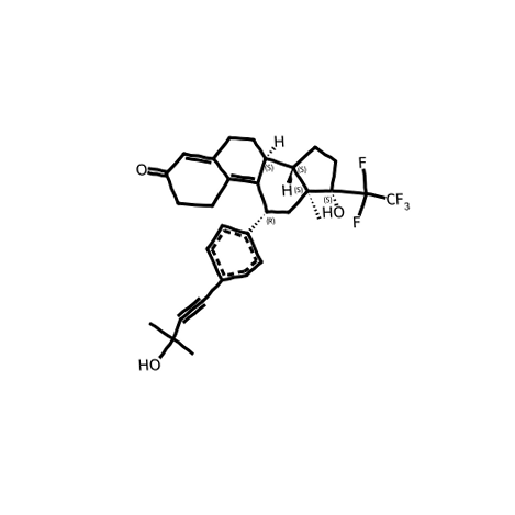 CC(C)(O)C#Cc1ccc([C@H]2C[C@@]3(C)[C@@H](CC[C@@]3(O)C(F)(F)C(F)(F)F)[C@@H]3CCC4=CC(=O)CCC4=C32)cc1